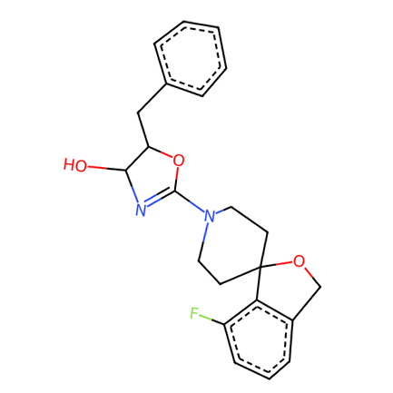 OC1N=C(N2CCC3(CC2)OCc2cccc(F)c23)OC1Cc1ccccc1